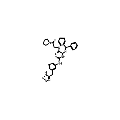 O=C(Nc1cccc(Cc2nnn[nH]2)c1)NC1N=C(c2ccccc2)c2ccccc2N(CC(=O)N2CCCC2)C1=O